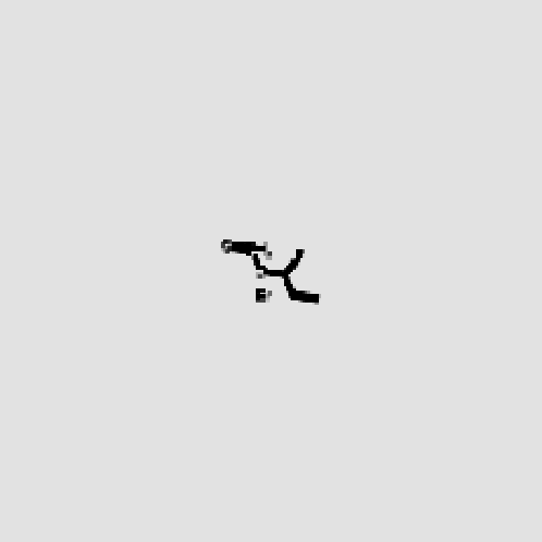 C=CC(F)O[PH2]=O.[Er]